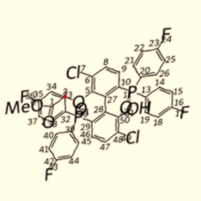 COC(=O)COc1c(Cl)ccc(P(=O)(c2ccc(F)cc2)c2ccc(F)cc2)c1-c1c(P(=O)(c2ccc(F)cc2)c2ccc(F)cc2)ccc(Cl)c1O